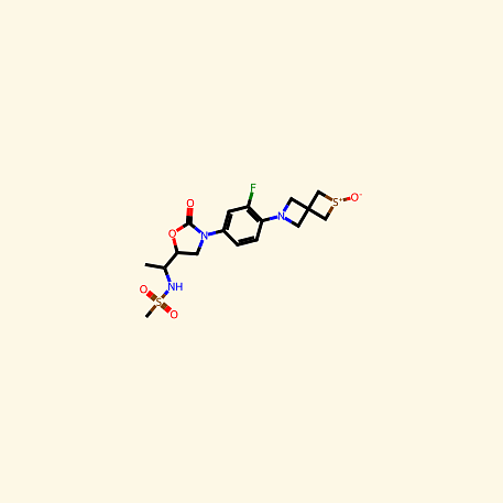 CC(NS(C)(=O)=O)C1CN(c2ccc(N3CC4(C3)C[S+]([O-])C4)c(F)c2)C(=O)O1